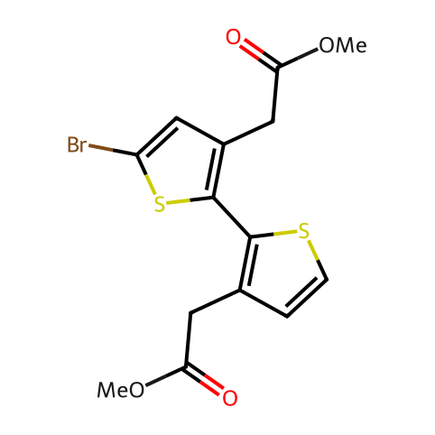 COC(=O)Cc1ccsc1-c1sc(Br)cc1CC(=O)OC